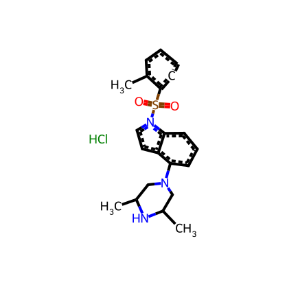 Cc1ccccc1S(=O)(=O)n1ccc2c(N3CC(C)NC(C)C3)cccc21.Cl